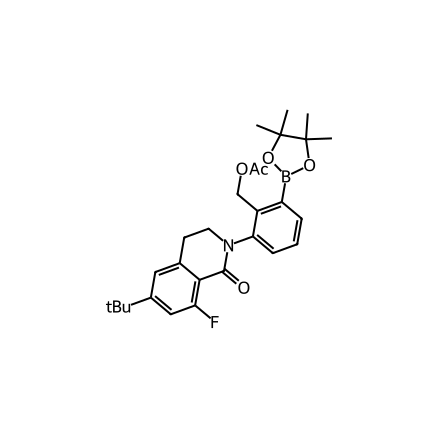 CC(=O)OCc1c(B2OC(C)(C)C(C)(C)O2)cccc1N1CCc2cc(C(C)(C)C)cc(F)c2C1=O